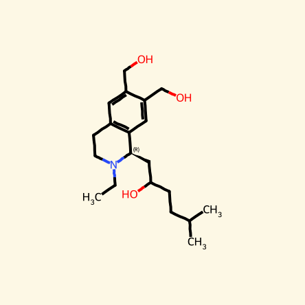 CCN1CCc2cc(CO)c(CO)cc2[C@H]1CC(O)CCC(C)C